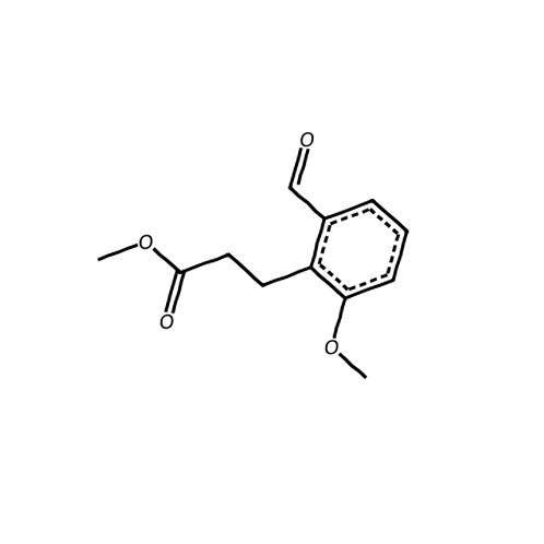 COC(=O)CCc1c(C=O)cccc1OC